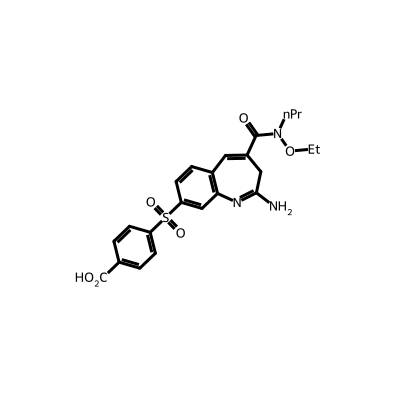 CCCN(OCC)C(=O)C1=Cc2ccc(S(=O)(=O)c3ccc(C(=O)O)cc3)cc2N=C(N)C1